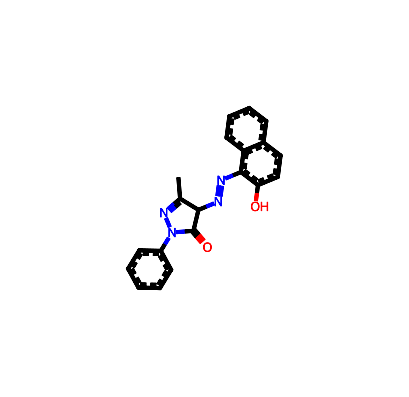 CC1=NN(c2ccccc2)C(=O)C1N=Nc1c(O)ccc2ccccc12